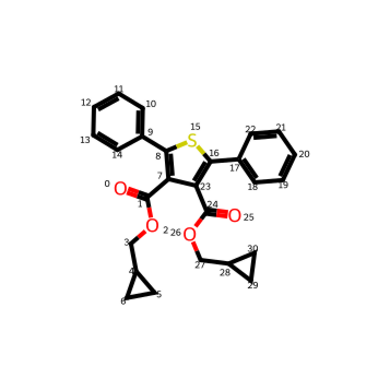 O=C(OCC1CC1)c1c(-c2ccccc2)sc(-c2ccccc2)c1C(=O)OCC1CC1